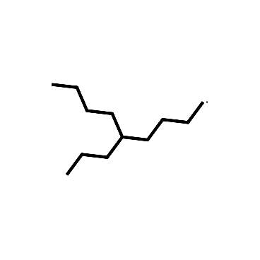 [CH2]CCCC(CCC)CCCC